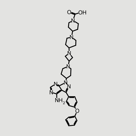 Nc1ncnc2c1c(-c1ccc(Oc3ccccc3)cc1)nn2C1CCN(C2CN(C3CCN(C4CCN(C(=O)O)CC4)CC3)C2)CC1